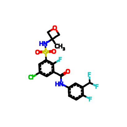 CC1(NS(=O)(=O)c2cc(Cl)cc(C(=O)Nc3ccc(F)c(C(F)F)c3)c2F)COC1